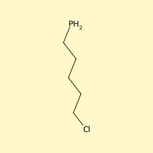 PCCCCCCl